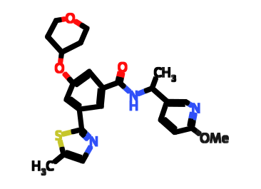 COc1ccc(C(C)NC(=O)c2cc(OC3CCOCC3)cc(-c3ncc(C)s3)c2)cn1